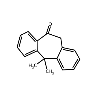 CC1(C)c2ccccc2CC(=O)c2ccccc21